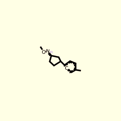 CO/N=C1\CCC(c2ccc(C)cc2)C1